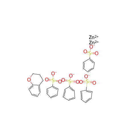 O=S(=O)([O-])c1ccccc1.O=S(=O)([O-])c1ccccc1.O=S(=O)([O-])c1ccccc1.O=S(=O)([O-])c1ccccc1.[Zn+2].[Zn+2].c1ccc2c(c1)CCCO2